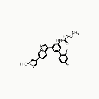 CONC(=O)Nc1cc(-c2ccc(F)cc2F)cc(-c2cnn3cc(-c4cnn(C)c4)ccc23)c1